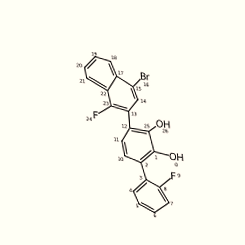 Oc1c(-c2ccccc2F)ccc(-c2cc(Br)c3ccccc3c2F)c1O